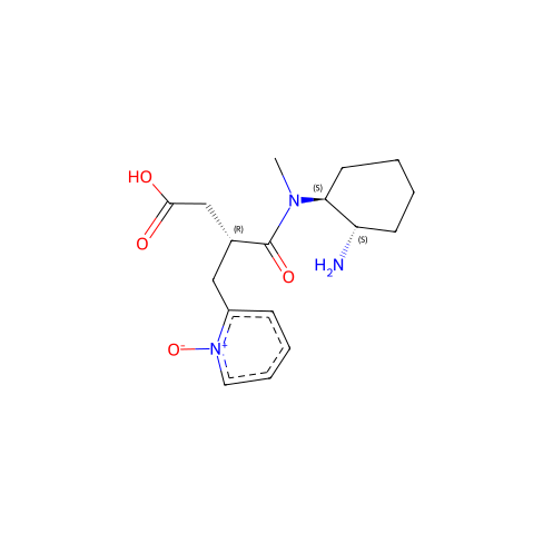 CN(C(=O)[C@@H](CC(=O)O)Cc1cccc[n+]1[O-])[C@H]1CCCC[C@@H]1N